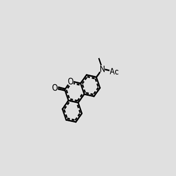 CC(=O)N(C)c1ccc2c(c1)oc(=O)c1ccccc12